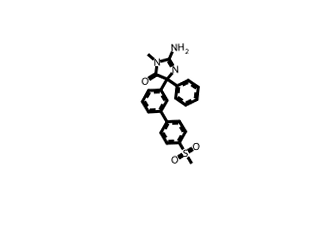 CN1C(=O)C(c2ccccc2)(c2cccc(-c3ccc(S(C)(=O)=O)cc3)c2)N=C1N